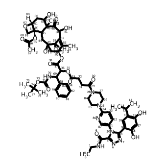 CCNC(=O)c1nnc(-c2cc(C(C)C)c(O)cc2O)n1-c1ccc(N2CCN(C(=O)CCC(=O)OC(C(=O)O[C@H]3CC4(O)CC5C(C)(C(=O)C(O)C(=C3C)C4(C)C)C(O)C[C@H]3OC[C@@]53OC(C)=O)C(NC(=O)OC(C)(C)C)c3ccccc3)CC2)nc1